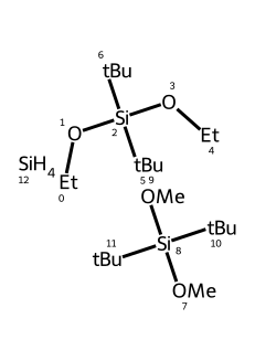 CCO[Si](OCC)(C(C)(C)C)C(C)(C)C.CO[Si](OC)(C(C)(C)C)C(C)(C)C.[SiH4]